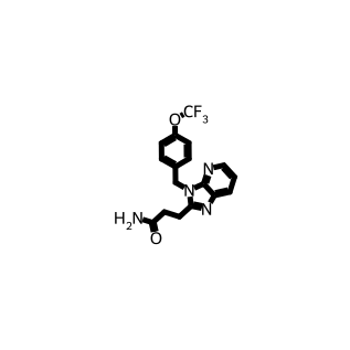 NC(=O)CCc1nc2cccnc2n1Cc1ccc(OC(F)(F)F)cc1